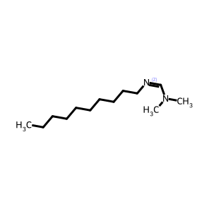 CCCCCCCCCC/N=C\N(C)C